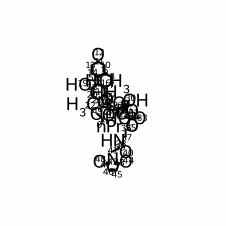 CCCC1O[C@@H]2C[C@H]3[C@@H]4CCC5=CC(=O)C=C[C@]5(C)[C@H]4[C@@H](O)C[C@]3(C)[C@]2(C(=O)COP(=O)(O)OP(=O)(O)OCCNC(=O)CN2C(=O)C=CC2=O)O1